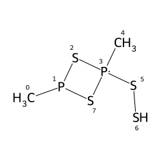 CP1S[P](C)(SS)S1